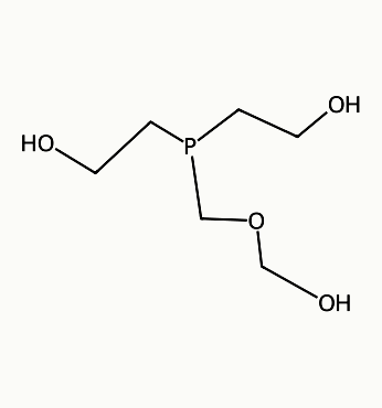 OCCP(CCO)COCO